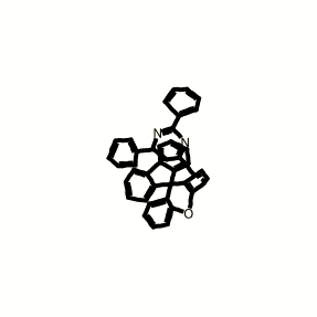 c1ccc(C2=NC(c3ccccc3)CC(c3cccc4c3C3(c5ccccc5O4)c4ccccc4-c4ccccc43)=N2)cc1